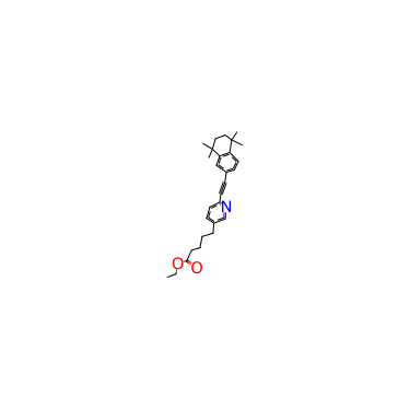 CCOC(=O)CCCCc1ccc(C#Cc2ccc3c(c2)C(C)(C)CCC3(C)C)nc1